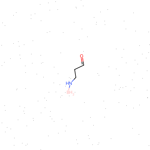 BNCCC=O